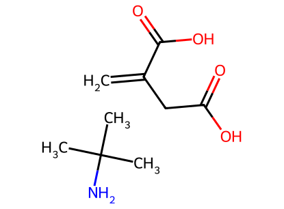 C=C(CC(=O)O)C(=O)O.CC(C)(C)N